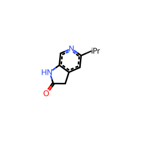 CC(C)c1cc2c(cn1)NC(=O)C2